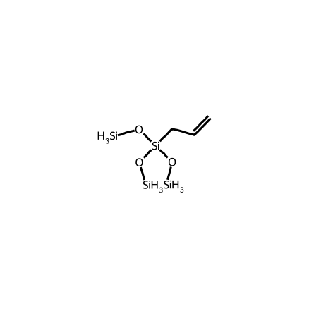 C=CC[Si](O[SiH3])(O[SiH3])O[SiH3]